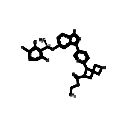 CCOC(=O)N1CC2(CNC2)C1c1ccc(-c2n[nH]c3ccc(O[C@@H](C)c4c(Cl)cnc(F)c4Cl)cc23)cn1